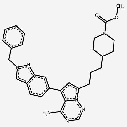 COC(=O)N1CCC(CCCc2cc(-c3ccc4cn(Cc5ccccc5)nc4c3)c3c(N)ncnn23)CC1